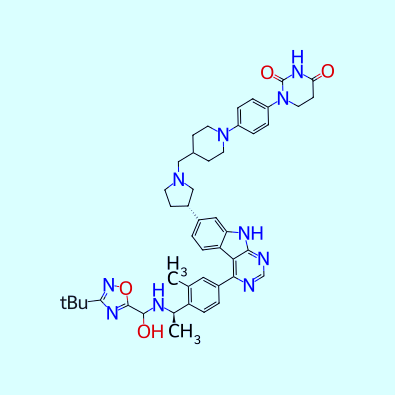 Cc1cc(-c2ncnc3[nH]c4cc([C@@H]5CCN(CC6CCN(c7ccc(N8CCC(=O)NC8=O)cc7)CC6)C5)ccc4c23)ccc1[C@@H](C)NC(O)c1nc(C(C)(C)C)no1